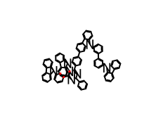 c1ccc(-c2nc(-c3ccccc3)nc(-c3ccc(-c4ccc5c6ccccc6n(-c6cccc(-c7cccc(-n8c9ccccc9c9ccccc98)c7)c6)c5c4)cc3-n3c4ccccc4c4c(-n5c6ccccc6c6ccccc65)cccc43)n2)cc1